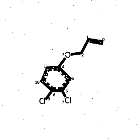 C=CCOc1[c]c(Cl)c(Cl)cc1